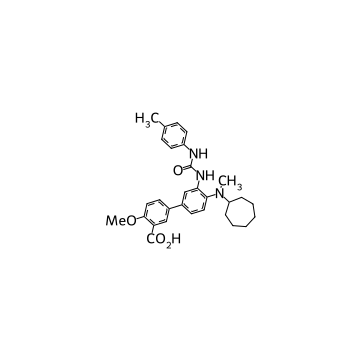 COc1ccc(-c2ccc(N(C)C3CCCCCC3)c(NC(=O)Nc3ccc(C)cc3)c2)cc1C(=O)O